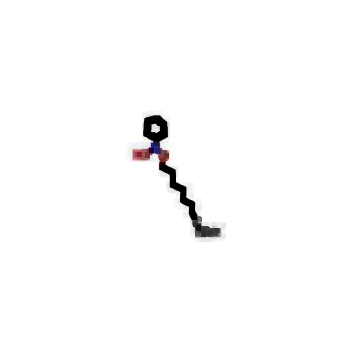 CCCCCCCCCCCCCCCCCCON(O)c1ccccc1